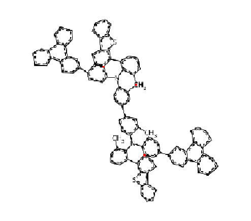 Cc1cc(-c2ccc(N(c3ccc(-c4ccc5c6ccccc6c6ccccc6c5c4)cc3)c3c(C)cccc3-c3cccc4c3sc3ccccc34)c(C)c2)ccc1N(c1ccc(-c2ccc3c4ccccc4c4ccccc4c3c2)cc1)c1c(C)cccc1-c1cccc2c1sc1ccccc12